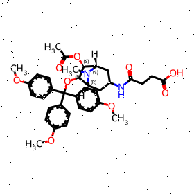 COc1ccc(C(O[C@H]2[C@@H](OC(C)=O)[C@@H]3CC(NC(=O)CCC(=O)O)C[C@H]2N3C)(c2ccc(OC)cc2)c2ccc(OC)cc2)cc1